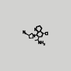 CC(N)c1cc(Cl)c2cccnc2c1N1CCC(C#N)C1